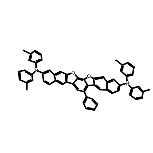 Cc1cccc(N(c2cccc(C)c2)c2ccc3cc4c(cc3c2)oc2c4cc(-c3ccccc3)c3c4cc5ccc(N(c6cccc(C)c6)c6cccc(C)c6)cc5cc4oc23)c1